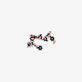 C=C1C[C@H](C[C@@H]2CC(=C)C[C@H](/C=C/C(C)(C)[C@]3(OC)O[C@H](C[C@@H](O[Si](C)(C)C(C)(C)C)[C@@H](C)OCOCc4ccccc4)CCC3=O)O2)O[C@H](C[C@H](CC=O)OCc2ccc(OC)cc2)C1